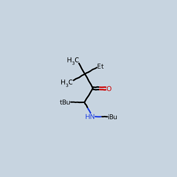 CCC(C)NC(C(=O)C(C)(C)CC)C(C)(C)C